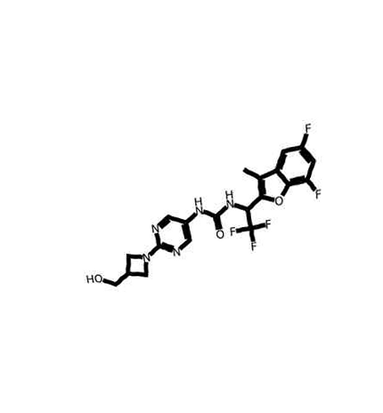 Cc1c(C(NC(=O)Nc2cnc(N3CC(CO)C3)nc2)C(F)(F)F)oc2c(F)cc(F)cc12